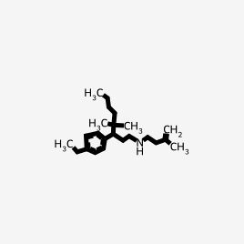 C=C(C)CCNCCC(c1ccc(CC)cc1)C(C)(C)CCCC